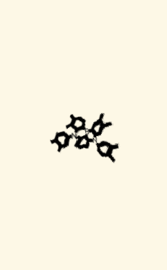 Cc1ccc(N2c3cc(C)c(C)cc3B3c4ccc(C)c(C)c4N(c4ccc(C)c(C)c4)c4cccc2c43)cc1C